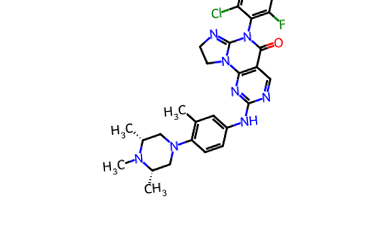 Cc1cc(Nc2ncc3c(n2)N2CCN=C2N(c2c(F)cccc2Cl)C3=O)ccc1N1C[C@@H](C)N(C)[C@@H](C)C1